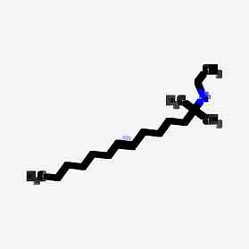 CCCCCC/C=C/CCCCC(C)(C)[N]CC